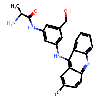 Cc1ccc2nc3ccccc3c(Nc3cc(CO)cc(NC(=O)[C@H](C)N)c3)c2c1